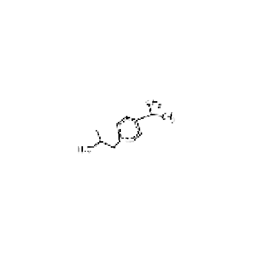 CC(I)Cc1ccc(C(C)C)cc1